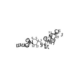 CCC(SCC1CCN(C(=O)OC(C)(C)C)CC1)C(=O)Nc1ccc(C(F)(F)F)cn1